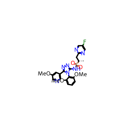 COc1cncc(-c2nnc(NS(=O)(=O)[C@@H](C)Cc3ncc(F)cn3)n2-c2c(OC)cccc2OC)c1